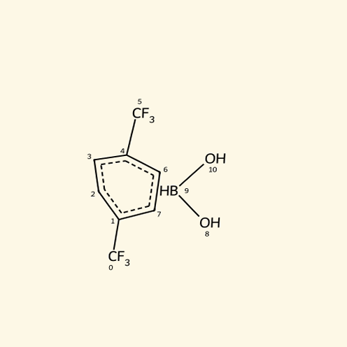 FC(F)(F)c1ccc(C(F)(F)F)cc1.OBO